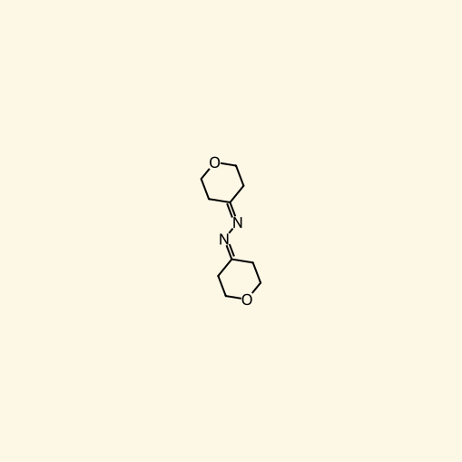 C1CC(=NN=C2CCOCC2)CCO1